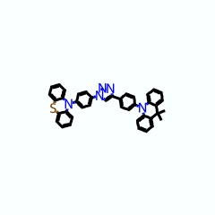 CC1(C)c2ccccc2N(c2ccc(-c3cn(-c4ccc(N5c6ccccc6Sc6ccccc65)cc4)nn3)cc2)c2ccccc21